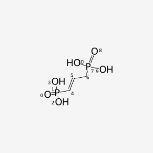 O=P(O)(O)C=CCP(=O)(O)O